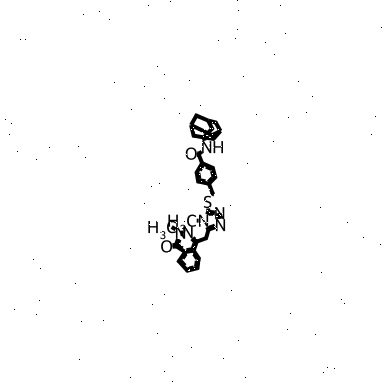 Cn1c(Cc2nn(C)c(=O)c3ccccc23)nnc1SCc1ccc(C(=O)NC23CC4CC(CC(C4)C2)C3)cc1